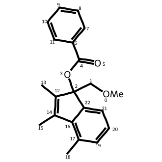 COCC1(OC(=O)c2ccccc2)C(C)=C(C)c2c(C)cccc21